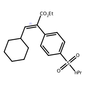 CCCS(=O)(=O)c1ccc(/C(=C\C2CCCCC2)C(=O)OCC)cc1